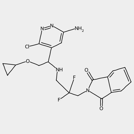 Nc1cc(C(COC2CC2)NCC(F)(F)CN2C(=O)c3ccccc3C2=O)c(Cl)nn1